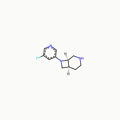 Fc1cncc(N2C[C@@H]3CCNC[C@@H]32)c1